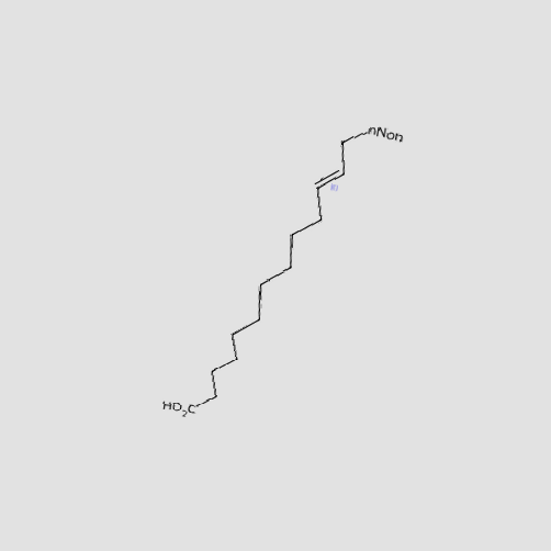 CCCCCCCCCC/C=C/CCCCCCCCCC(=O)O